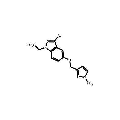 CC(=O)c1nn(CC(=O)O)c2ccc(OCc3ccn(C)n3)cc12